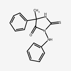 CC1(c2ccccc2)NC(=S)N(Nc2ccccc2)C1=O